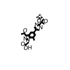 CC(=O)c1nn(CC(=O)O)c2c(C)cc(-c3cnc(C4(O[Si](C)(C)C)COC4)nc3)cc12